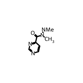 CNN(C)C(=O)c1ccncn1